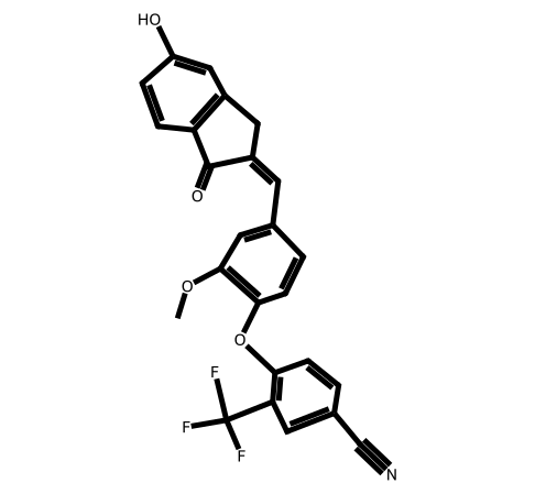 COc1cc(C=C2Cc3cc(O)ccc3C2=O)ccc1Oc1ccc(C#N)cc1C(F)(F)F